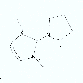 CN1C=CN(C)C1N1CCCC1